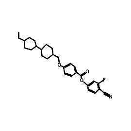 CCC1CCC(C2CCC(COc3ccc(C(=O)Oc4ccc(C#N)c(F)c4)cc3)CC2)CC1